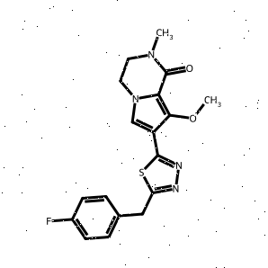 COc1c(-c2nnc(Cc3ccc(F)cc3)s2)cn2c1C(=O)N(C)CC2